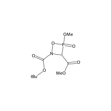 COC(=O)C1N(C(=O)OC(C)(C)C)OP1(=O)OC